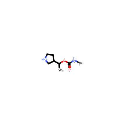 CC(OC(=O)NC(C)(C)C)C1CCNC1